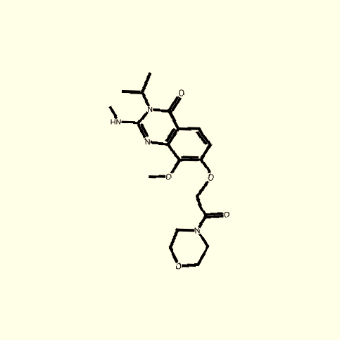 CNc1nc2c(OC)c(OCC(=O)N3CCOCC3)ccc2c(=O)n1C(C)C